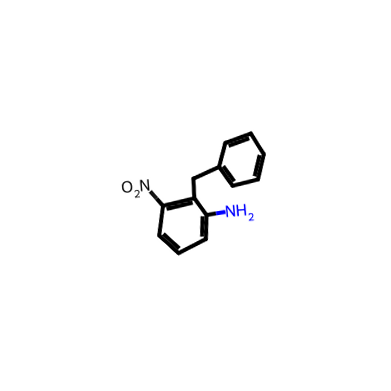 Nc1cccc([N+](=O)[O-])c1Cc1ccccc1